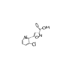 O=C(O)c1cc(-c2ncccc2Cl)on1